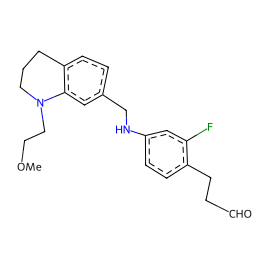 COCCN1CCCc2ccc(CNc3ccc(CCC=O)c(F)c3)cc21